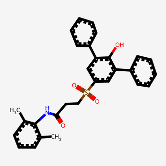 Cc1cccc(C)c1NC(=O)CCS(=O)(=O)c1cc(-c2ccccc2)c(O)c(-c2ccccc2)c1